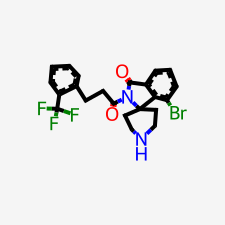 O=C(CCc1ccccc1C(F)(F)F)N1C(=O)c2cccc(Br)c2C12CCNCC2